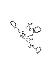 O=C(CCC(NC(=O)OCc1ccccc1)P(=O)(O)CCc1ccccc1OC(F)(F)F)OCc1ccccc1